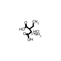 CCC(C(=O)O)[C@H](N)C(=O)O.Cl